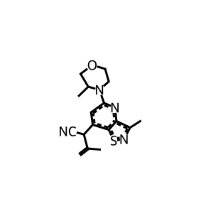 C=C(C)C(C#N)c1cc(N2CCOCC2C)nc2c(C)nsc12